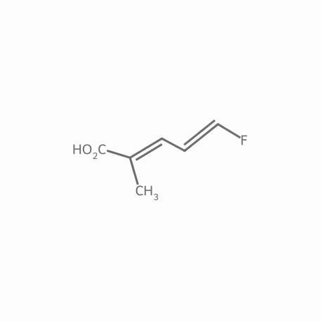 CC(=CC=CF)C(=O)O